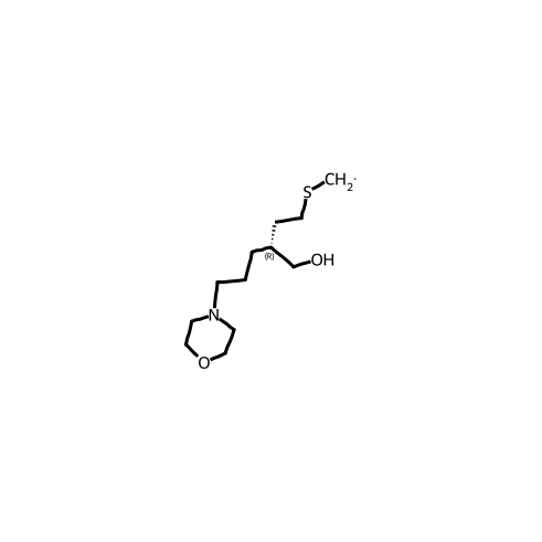 [CH2]SCC[C@H](CO)CCCN1CCOCC1